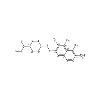 CCC(C)C1CCC(CCc2cc3ccc(O)c(F)c3c(F)c2F)CC1